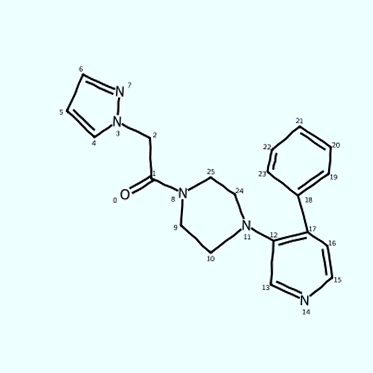 O=C(Cn1cccn1)N1CCN(c2cnccc2-c2ccccc2)CC1